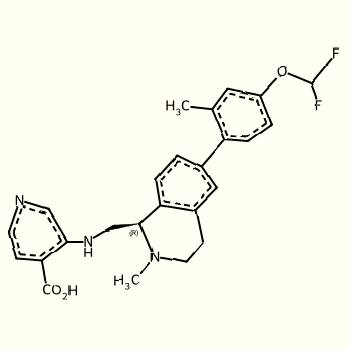 Cc1cc(OC(F)F)ccc1-c1ccc2c(c1)CCN(C)[C@H]2CNc1cnccc1C(=O)O